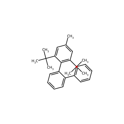 Cc1cc(C(C)(C)C)c(-c2ccccc2-c2ccccc2)c(C(C)(C)C)c1